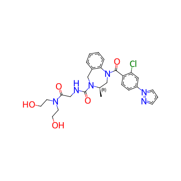 C[C@@H]1CN(C(=O)c2ccc(-n3cccn3)cc2Cl)c2ccccc2CN1C(=O)NCC(=O)N(CCO)CCO